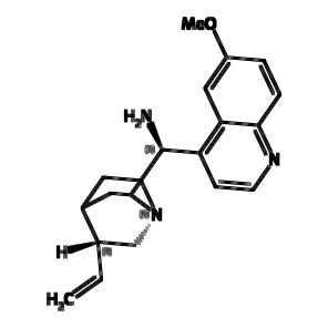 C=C[C@H]1C[N@@]2CCC1CC2[C@@H](N)c1ccnc2ccc(OC)cc12